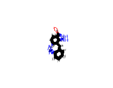 O=c1[nH][nH]c2c3c(ccc12)N=Nc1ccccc1C3